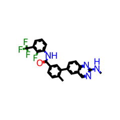 CNc1ncc2cc(-c3cc(C(=O)Nc4cccc(C(F)(F)F)c4F)ccc3C)ccc2n1